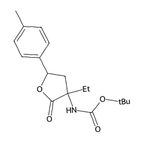 CCC1(NC(=O)OC(C)(C)C)CC(c2ccc(C)cc2)OC1=O